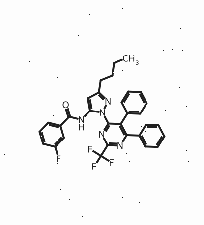 CCCCc1cc(NC(=O)c2cccc(F)c2)n(-c2nc(C(F)(F)F)nc(-c3ccccc3)c2-c2ccccc2)n1